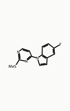 CSc1nccc(-n2ccc3cc(F)ccc32)n1